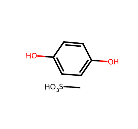 CS(=O)(=O)O.Oc1ccc(O)cc1